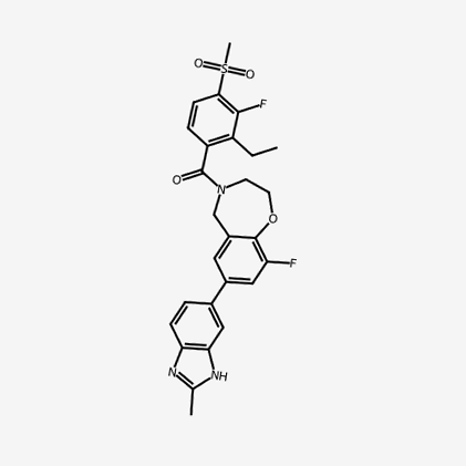 CCc1c(C(=O)N2CCOc3c(F)cc(-c4ccc5nc(C)[nH]c5c4)cc3C2)ccc(S(C)(=O)=O)c1F